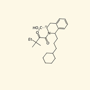 CCC(C)(C)C(=O)C(=O)N1C(CCCC2CCCCC2)c2ccccc2C[C@H]1C(=O)O